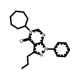 CCCc1nn(-c2ccccc2)c2ncn(C3CCCCCC3)c(=O)c12